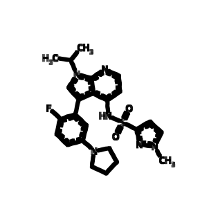 CC(C)n1cc(-c2cc(N3CCCC3)ccc2F)c2c(NS(=O)(=O)c3ccn(C)n3)ccnc21